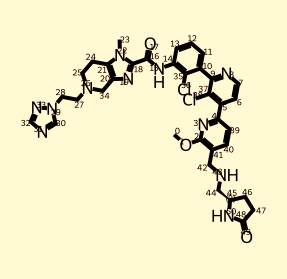 COc1nc(-c2ccnc(-c3cccc(NC(=O)c4nc5c(n4C)CCN(CCn4cncn4)C5)c3Cl)c2Cl)ccc1CNC[C@H]1CCC(=O)N1